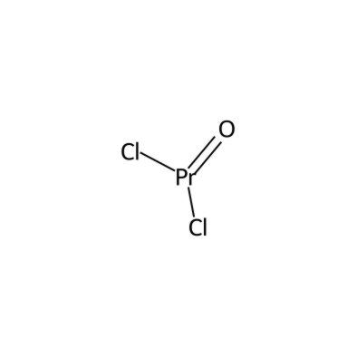 [O]=[Pr]([Cl])[Cl]